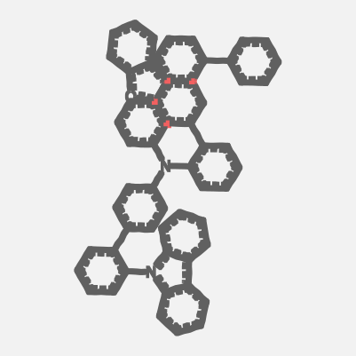 c1ccc(-c2cccc(-c3cccc(N(c4ccc(-c5ccccc5-n5c6ccccc6c6ccccc65)cc4)c4ccccc4-c4ccc5c(c4)oc4ccccc45)c3)c2)cc1